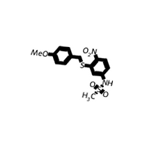 COc1ccc(CSc2cc(NS(C)(=O)=O)ccc2[N+](=O)[O-])cc1